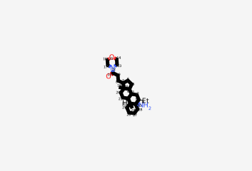 CC[C@H]1CC2C3CCC(CCC(=O)N4CCOCC4)C3(C)CC[C@@H]2C2(C)CCCCC12N